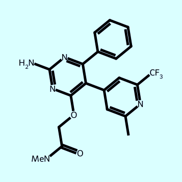 CNC(=O)COc1nc(N)nc(-c2ccccc2)c1-c1cc(C)nc(C(F)(F)F)c1